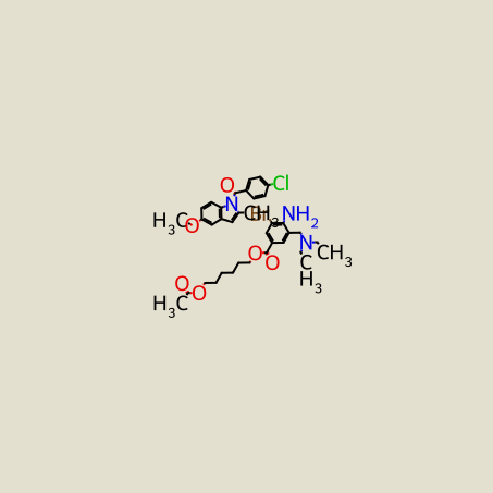 CCN(CC)Cc1cc(C(=O)OCCCCCCOC(C)=O)cc(Br)c1N.COc1ccc2c(c1)cc(C)n2C(=O)c1ccc(Cl)cc1